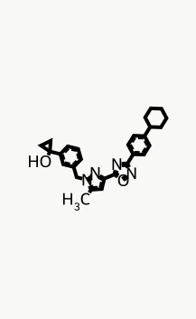 Cc1cc(-c2nc(-c3ccc(C4CCCCC4)cc3)no2)nn1Cc1cccc(C2(O)CC2)c1